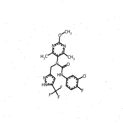 COc1nc(C)c(N(Cc2cc(C(F)(F)F)[nH]n2)C(=O)Nc2ccc(F)c(Cl)c2)c(C)n1